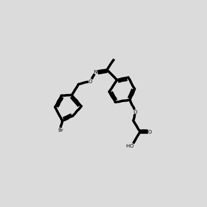 CC(=NOCc1ccc(Br)cc1)c1ccc(OCC(=O)O)cc1